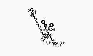 CC(C)(C)[C@H](c1cc(-c2cc(F)ccc2F)cn1Cc1ccccc1)N(CC[C@H](NC(=O)[C@H](CC(N)=O)NC(=O)CCOCCOCCOCCOCCNC(=O)CN1C(=O)C=CC1=O)C(=O)NCCC(=O)N[C@H](CCC(=O)O)C(=O)O)C(=O)CO